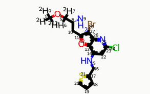 [2H]C([2H])([2H])OC([2H])([2H])[C@H](N)Cc1oc2c(NCc3cccs3)cc(Cl)nc2c1Br